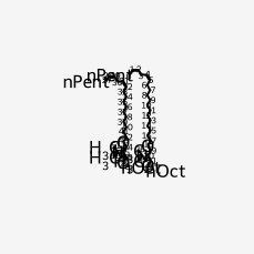 CCCCC/C=C\C/C=C\CCCCCCCCCCCCOCC(COCCCCCCCC)N(C)C.CCCCC/C=C\C/C=C\CCCCCCCCCCOCC(COCCCCCCCC)N(C)C